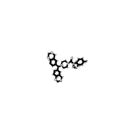 O=C(N1CCN(C(c2ccc3c(c2)COCO3)c2ccc3c(c2)COCO3)CC1)n1nnc2cc(F)ccc21